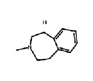 CN1CCc2ccccc2CC1.I